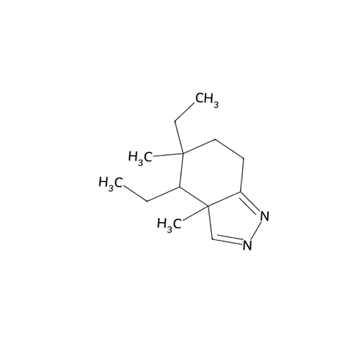 CCC1C(C)(CC)CCC2=NN=CC21C